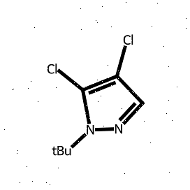 CC(C)(C)n1ncc(Cl)c1Cl